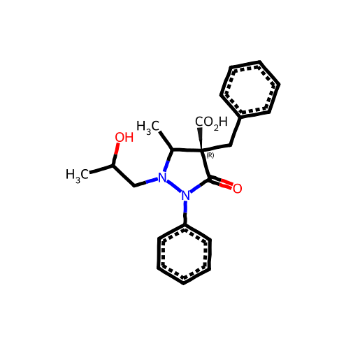 CC(O)CN1C(C)[C@@](Cc2ccccc2)(C(=O)O)C(=O)N1c1ccccc1